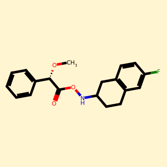 CO[C@H](C(=O)ONC1CCc2cc(F)ccc2C1)c1ccccc1